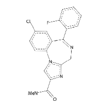 CNC(=O)c1cn2c(n1)CN=C(c1ccccc1F)c1cc(Cl)ccc1-2